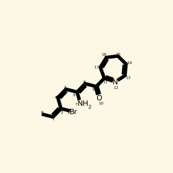 C\C=C(Br)/C=C\C(N)=C\C(=O)C1=NC=CCC=C1